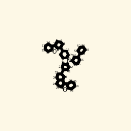 C1=CC(c2cccc3c2oc2ccccc23)CC=C1N(c1ccc(-c2ccc3ccc4oc5ccccc5c4c3c2)cc1)c1cccc(-c2ccccc2)c1